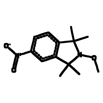 CON1C(C)(C)c2ccc([N+](=O)[O-])cc2C1(C)C